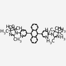 CC1=NC(C)(C)C(C)(C)N1c1ccc(-c2c3ccccc3c(-c3ccc(N4C(C)=NC(C)(C)C4(C)C)nc3)c3ccccc23)cn1